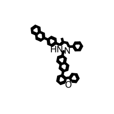 CC1=C(c2ccc(-c3ccc4ccccc4c3)cc2)NC(c2ccc3cc(-c4cccc5oc6ccccc6c45)ccc3c2)N=C(c2ccccc2)C1